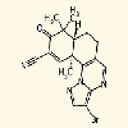 CC1(C)C(=O)C(C#N)=C[C@]2(C)c3c(cnc4c(Br)cnn34)CC[C@@H]12